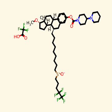 CO[C@H]1CC[C@H]2[C@@H]3[C@H](CCCCCCCCC[S+]([O-])CCCC(F)(F)C(F)(F)F)Cc4cc(OC(=O)N5CCC(N6CCCCC6)CC5)ccc4[C@H]3CC[C@]12C.O=C(O)C(F)(F)F